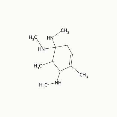 CNC1[C](C)C(NC)(NC)CC=C1C